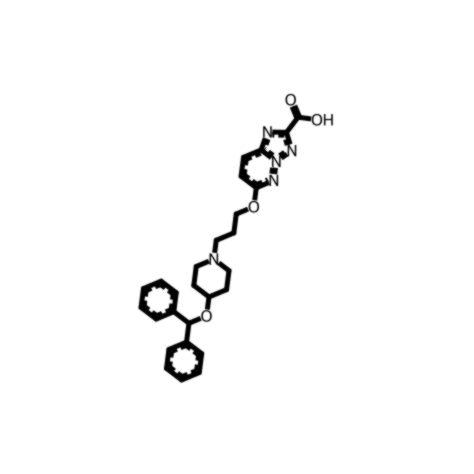 O=C(O)c1nc2ccc(OCCCN3CCC(OC(c4ccccc4)c4ccccc4)CC3)nn2n1